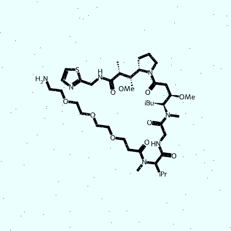 CC[C@H](C)[C@@H]([C@@H](CC(=O)N1CCC[C@H]1[C@H](OC)[C@@H](C)C(=O)NCc1nccs1)OC)N(C)C(=O)CNC(=O)C(C(C)C)N(C)C(=O)CCOCCOCCOCCN